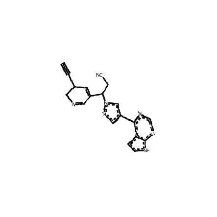 C#CC1C=C(C(CC#N)n2cc(-c3ncnc4[nH]ccc34)cn2)C=NC1